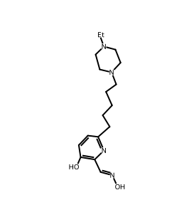 CCN1CCN(CCCCCc2ccc(O)c(C=NO)n2)CC1